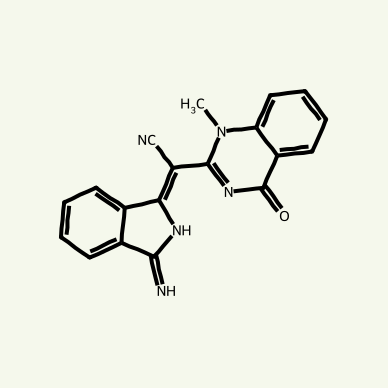 Cn1c(C(C#N)=C2NC(=N)c3ccccc32)nc(=O)c2ccccc21